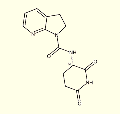 O=C1CC[C@H](NC(=O)N2CCc3cccnc32)C(=O)N1